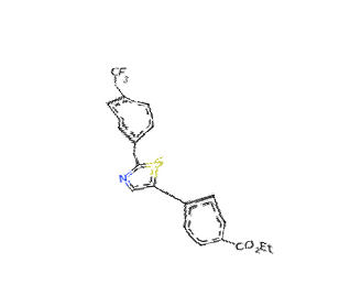 CCOC(=O)c1ccc(-c2cnc(-c3ccc(C(F)(F)F)cc3)s2)cc1